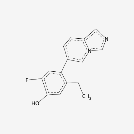 CCc1cc(O)c(F)cc1-c1ccc2cncn2c1